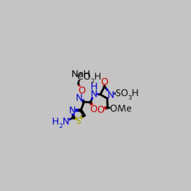 COC(=O)C1C(NC(=O)C(=NOCC(=O)O)c2csc(N)n2)C(=O)N1S(=O)(=O)O.[NaH]